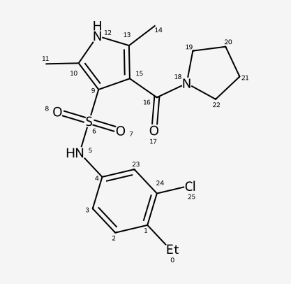 CCc1ccc(NS(=O)(=O)c2c(C)[nH]c(C)c2C(=O)N2CCCC2)cc1Cl